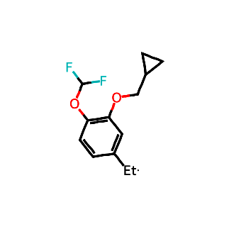 C[CH]c1ccc(OC(F)F)c(OCC2CC2)c1